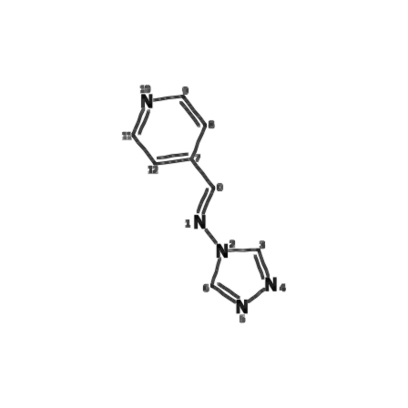 C(=N\n1cnnc1)/c1ccncc1